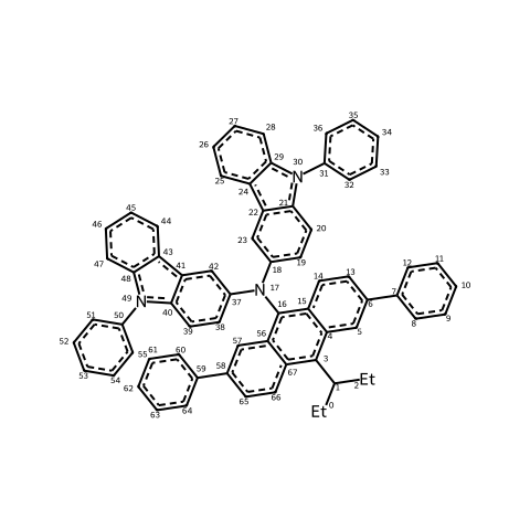 CCC(CC)c1c2cc(-c3ccccc3)ccc2c(N(c2ccc3c(c2)c2ccccc2n3-c2ccccc2)c2ccc3c(c2)c2ccccc2n3-c2ccccc2)c2cc(-c3ccccc3)ccc12